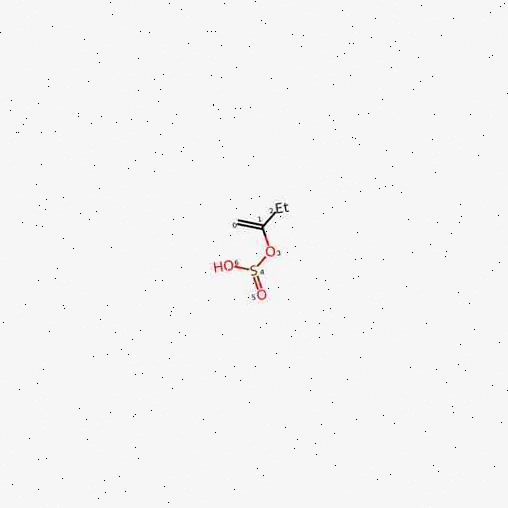 C=C(CC)OS(=O)O